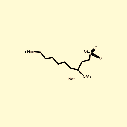 CCCCCCCCCCCCCCCC(CCS(=O)(=O)[O-])OC.[Na+]